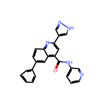 O=C(Nc1cccnc1)c1cc(-c2cn[nH]c2)nc2ccc(-c3ccccc3)cc12